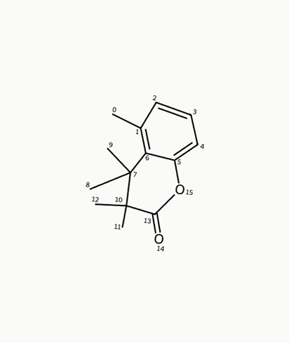 Cc1cccc2c1C(C)(C)C(C)(C)C(=O)O2